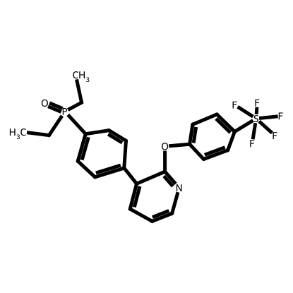 CCP(=O)(CC)c1ccc(-c2cccnc2Oc2ccc(S(F)(F)(F)(F)F)cc2)cc1